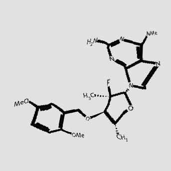 CNc1nc(N)nc2c1ncn2[C@@H]1O[C@H](C)[C@@H](OCc2cc(OC)ccc2OC)[C@@]1(C)F